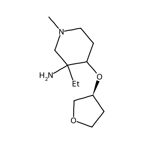 CCC1(N)CN(C)CCC1O[C@H]1CCOC1